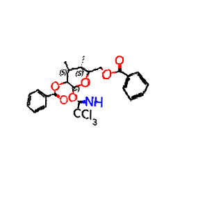 C[C@@H]1C(COC(=O)c2ccccc2)O[C@@H](OC(=N)C(Cl)(Cl)Cl)C(OC(=O)c2ccccc2)[C@H]1C